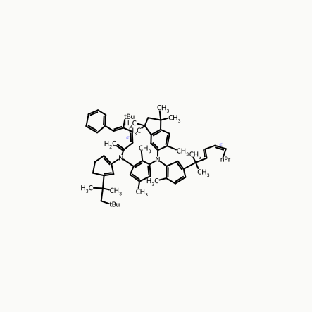 C=C(/C=C\C(=Cc1ccccc1)C(C)(C)C)N(C1=CCCC(C(C)(C)CC(C)(C)C)=C1)c1cc(C)cc(N(c2cc(C(C)(C)C=C/C=C\CCC)ccc2C)c2cc3c(cc2C)C(C)(C)CC3(C)C)c1C